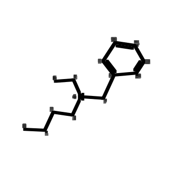 CCCCN(CC)Cc1cc[c]cc1